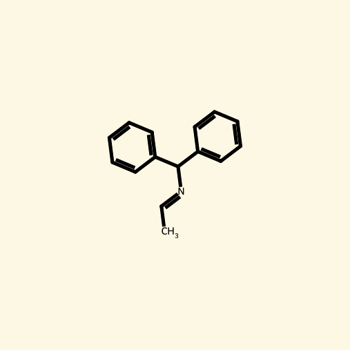 C/C=N/C(c1ccccc1)c1ccccc1